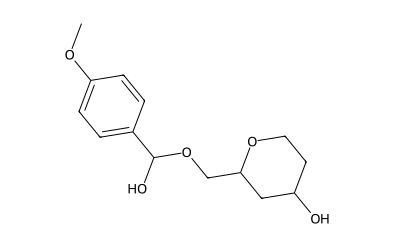 COc1ccc(C(O)OCC2CC(O)CCO2)cc1